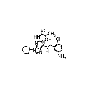 CCC(Nc1nc(NCc2cc(N)ccc2O)c2ncn(C3CCCCC3)c2n1)C(C)O